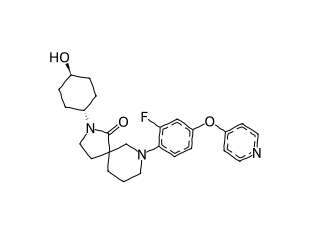 O=C1N([C@H]2CC[C@H](O)CC2)CCC12CCCN(c1ccc(Oc3ccncc3)cc1F)C2